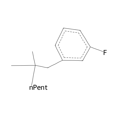 CCCCCC(C)(C)Cc1cccc(F)c1